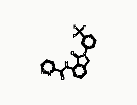 O=C(Nc1cccc2c1C(=O)N(c1cccc(C(F)(F)F)c1)C2)c1cccnn1